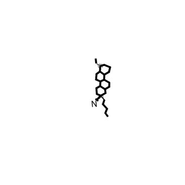 CCCCC[C@@]1(C#N)CCC2C(CCC3C2CCC2C3CCC[C@H]2CC)C1